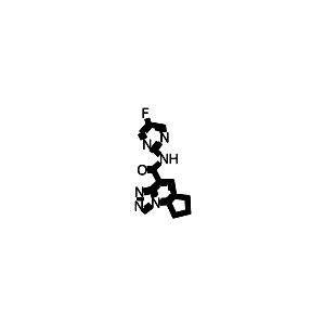 O=C(Nc1ncc(F)cn1)c1cc2c(n3cnnc13)CCC2